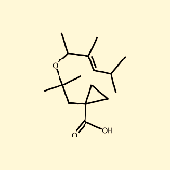 CC(=CC(C)C)C(C)OC(C)(C)CC1(C(=O)O)CC1